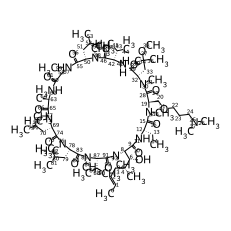 C/C=C/C[C@@H](C)[C@@H](O)[C@H]1C(=O)N[C@@H](CC)C(=O)N(C)[C@H](COCCCN(C)C)C(=O)N(C)[C@@H](CC(C)(C)OC)C(=O)N[C@@H](C(C)C)C(=O)N(C)[C@@H](CC(C)C)C(=O)N[C@@H](C)C(=O)N[C@H](C)C(=O)N(C)[C@@H](CC(C)C)C(=O)N(C)[C@@H](CC(C)C)C(=O)N(C)[C@@H](C(C)C)C(=O)N1C